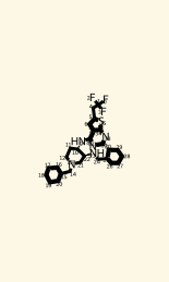 FC(F)(F)Cc1cc2c(N[C@H]3CCN(Cc4ccccc4)C[C@@H]3NCc3ccccc3)ncnc2s1